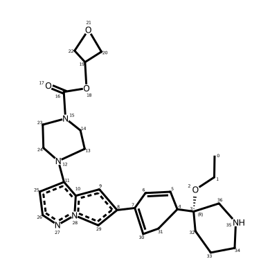 CCO[C@@]1(C2C=CC(c3cc4c(N5CCN(C(=O)OC6COC6)CC5)ccnn4c3)=CC2)CCCNC1